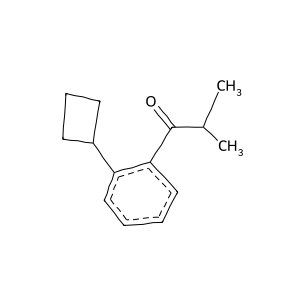 CC(C)C(=O)c1ccccc1C1CCC1